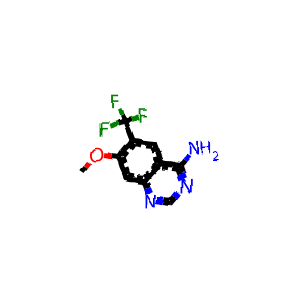 COc1cc2ncnc(N)c2cc1C(F)(F)F